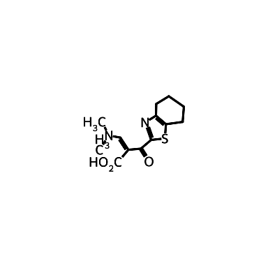 CN(C)C=C(C(=O)O)C(=O)c1nc2c(s1)CCCC2